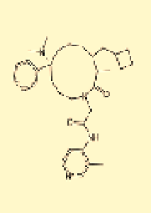 Cc1cnccc1NC(=O)CN1CCC[C@](c2ccccc2)(N(C)C)CCCC(CC2CCC2)C(C)C1=O